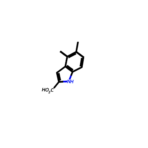 Cc1ccc2[nH]c(C(=O)O)cc2c1C